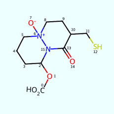 O=C(O)OC1CCC[N+]2([O-])CCC(CS)C(=O)N12